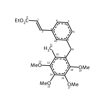 CCOC(=O)C=Cc1cccc(Cc2c(C)c(OC)c(OC)c(OC)c2OC)c1